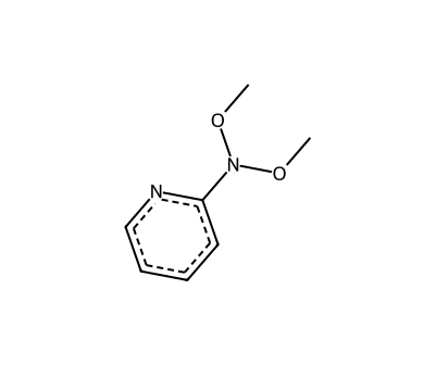 CON(OC)c1ccccn1